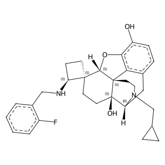 Oc1ccc2c3c1O[C@H]1[C@@]4(CC[C@@H]4NCc4ccccc4F)CC[C@@]4(O)[C@@H](C2)N(CC2CC2)CC[C@]314